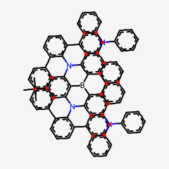 CC(C)(C)c1cc2c3c(c1)N(c1c(-c4ccccc4)cccc1-c1ccccc1)c1cc(N(c4ccccc4)c4ccccc4)cc(-c4ccccc4)c1B3c1c(-c3ccccc3)cc(N(c3ccccc3)c3ccccc3)cc1N2c1c(-c2ccccc2)cccc1-c1ccccc1